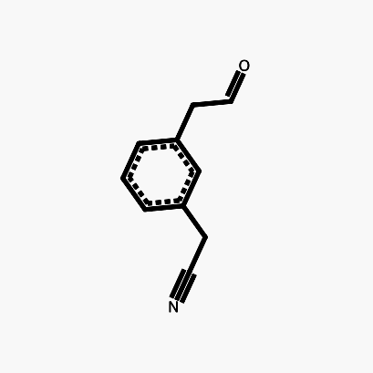 N#CCc1cccc(CC=O)c1